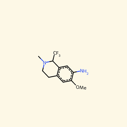 COc1cc2c(cc1N)C(C(F)(F)F)N(C)CC2